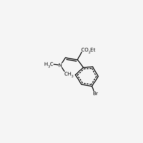 CCOC(=O)/C(=C/N(C)C)c1ccc(Br)cc1